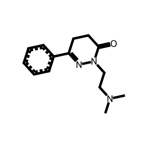 CN(C)CCN1N=C(c2ccccc2)CCC1=O